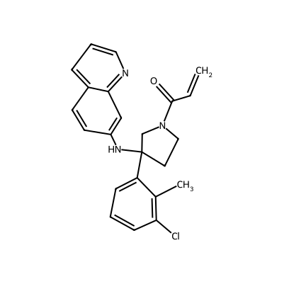 C=CC(=O)N1CCC(Nc2ccc3cccnc3c2)(c2cccc(Cl)c2C)C1